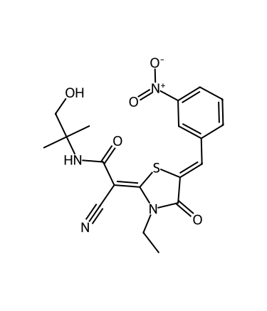 CCn1c(=O)c(=Cc2cccc([N+](=O)[O-])c2)s/c1=C(/C#N)C(=O)NC(C)(C)CO